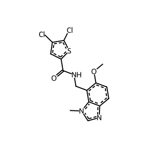 COc1ccc2ncn(C)c2c1CNC(=O)c1cc(Cl)c(Cl)s1